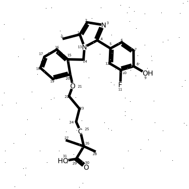 Cc1cnc(-c2ccc(O)c(F)c2)n1Cc1ccccc1OCCCCC(C)(C)C(=O)O